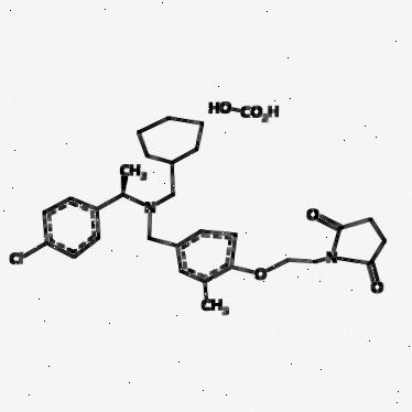 Cc1cc(CN(CC2CCCCC2)[C@H](C)c2ccc(Cl)cc2)ccc1OCCN1C(=O)CCC1=O.O=C(O)O